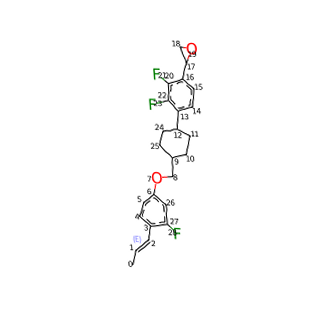 C/C=C/c1ccc(OCC2CCC(c3ccc(C4CO4)c(F)c3F)CC2)cc1F